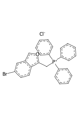 Brc1ccc2c(C[P+](c3ccccc3)(c3ccccc3)c3ccccc3)occ2c1.[Cl-]